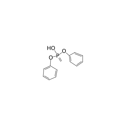 C=P(O)(Oc1ccccc1)Oc1ccccc1